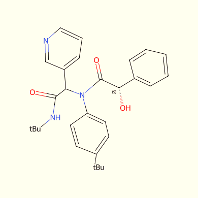 CC(C)(C)NC(=O)C(c1cccnc1)N(C(=O)[C@@H](O)c1ccccc1)c1ccc(C(C)(C)C)cc1